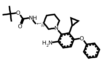 CC(C)(C)OC(=O)NC[C@@H]1CCCN(c2c(N)ccc(Oc3ccccc3)c2C2CC2)C1